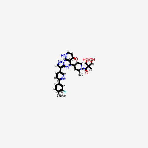 CCC1CC(c2nc3c(-c4ccc(-c5ccc(OC)c(F)c5)nc4)cnn3c3c2C(=O)CCN3)CCN1C(=O)C(C)(CO)CO